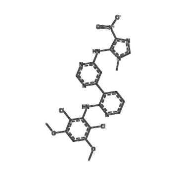 COc1cc(OC)c(Cl)c(Nc2ncccc2-c2cc(Nc3c([N+](=O)[O-])ncn3C)ncn2)c1Cl